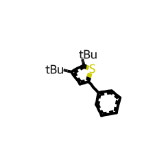 CC(C)(C)c1cc(-c2ccccc2)sc1C(C)(C)C